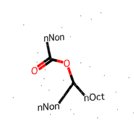 CCCCCCCCCC(=O)OC(CCCCCCCC)CCCCCCCCC